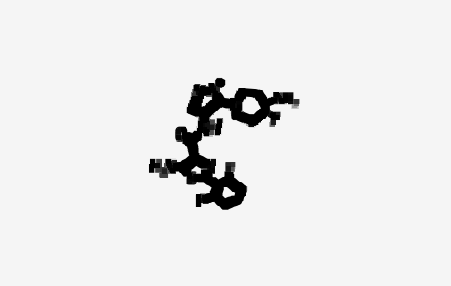 Cn1ncc(NC(=O)c2nc(-c3c(F)cccc3F)sc2N)c1N1CC[C@@H](N)[C@H](F)CC1